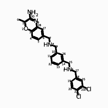 CC1Oc2ccc(CNCc3cccc(CNCc4ccc(Cl)c(Cl)c4)c3)cc2N=C1N